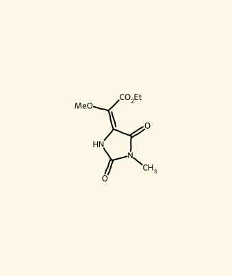 CCOC(=O)C(OC)=C1NC(=O)N(C)C1=O